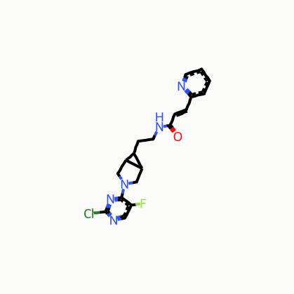 O=C(/C=C/c1ccccn1)NCCC1C2CN(c3nc(Cl)ncc3F)CC12